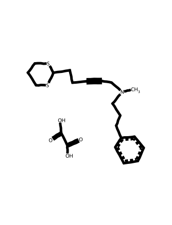 CN(CC#CCCC1SCCCS1)CCCc1ccccc1.O=C(O)C(=O)O